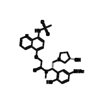 CC(=O)Nc1ccc(O)c([C@@H](CN2CC[C@H](O)C2)N(C)C(=O)COc2ccc(NS(C)(=O)=O)c3ncccc23)c1